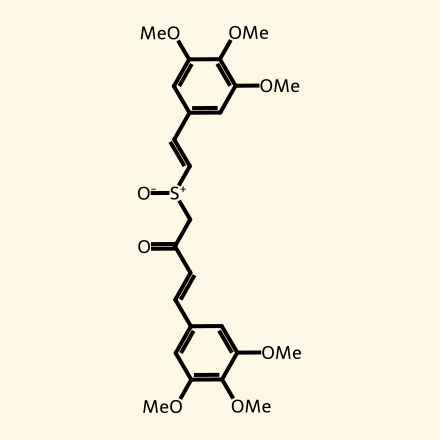 COc1cc(C=CC(=O)C[S+]([O-])C=Cc2cc(OC)c(OC)c(OC)c2)cc(OC)c1OC